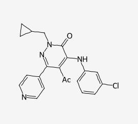 CC(=O)c1c(-c2ccncc2)nn(CC2CC2)c(=O)c1Nc1cccc(Cl)c1